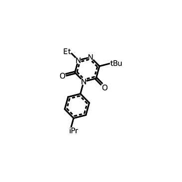 CCn1nc(C(C)(C)C)c(=O)n(-c2ccc(C(C)C)cc2)c1=O